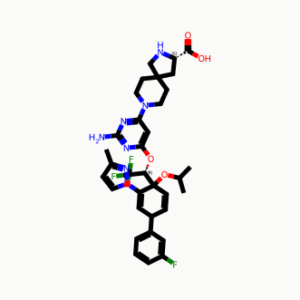 Cc1ccn(C2=CC(c3cccc(F)c3)C=CC2(OC(C)C)[C@@H](Oc2cc(N3CCC4(CC3)CN[C@H](C(=O)O)C4)nc(N)n2)C(F)(F)F)n1